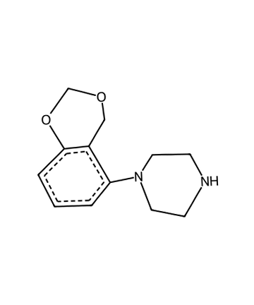 c1cc2c(c(N3CCNCC3)c1)COCO2